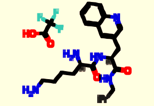 CC(C)CNC(=O)[C@H](Cc1cnc2ccccc2c1)NC(=O)[C@H](N)CCCCN.O=C(O)C(F)(F)F